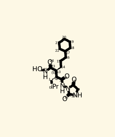 CC(C)C[C@@H](C(=O)NN1C(=O)CNC1=O)[C@H](CCCC1CCCCC1)C(=O)NO